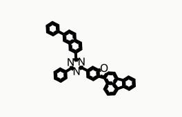 c1ccc(-c2ccc3ccc(-c4nc(-c5ccccc5)nc(-c5ccc6c(c5)oc5cc7c8c(cccc8c56)-c5ccccc5-7)n4)cc3c2)cc1